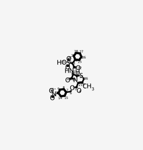 CC1=C(C(=O)OCc2ccc([N+](=O)[O-])cc2)N2C(=O)C(NC(=O)C(c3ccccc3)S(=O)(=O)O)[C@H]2SC1